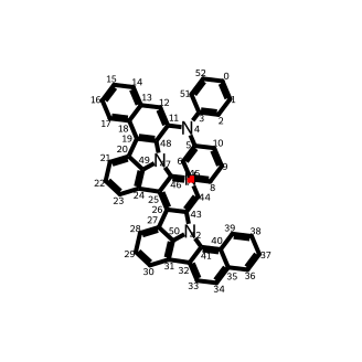 c1ccc(N(c2ccccc2)c2cc3ccccc3c3c4cccc5c6c7c8cccc9c%10ccc%11ccccc%11c%10n(c7cnc6n(c23)c54)c98)cc1